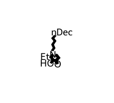 CCCCCCCCCCCCCCCCn1ccc(=O)c(O)c1CC